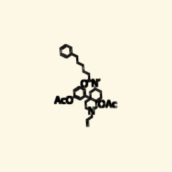 C=CCN1CCC2(c3cccc(OC(C)=O)c3)CC(N(C)C(=O)CCCCCc3ccccc3)CCC2(OC(C)=O)C1